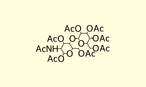 CC(=O)NC1C(OC(C)=O)[C@H](O[C@@H]2OC(COC(C)=O)[C@H](OC(C)=O)C(OC(C)=O)C2OC(C)=O)C(COC(C)=O)O[C@H]1OC(C)=O